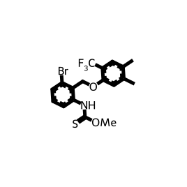 COC(=S)Nc1cccc(Br)c1COc1cc(C)c(C)cc1C(F)(F)F